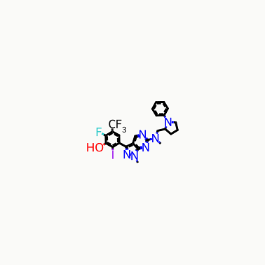 CN(CC1CCCN1c1ccccc1)c1ncc2c(-c3cc(C(F)(F)F)c(F)c(O)c3I)nn(C)c2n1